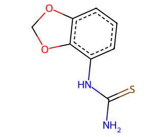 NC(=S)Nc1cccc2c1OCO2